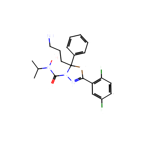 CC(C)N(O)C(=O)N1N=C(c2cc(F)ccc2F)SC1(CCCN)c1ccccc1